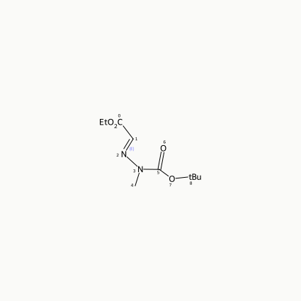 CCOC(=O)/C=N/N(C)C(=O)OC(C)(C)C